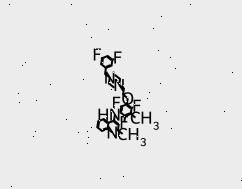 Cc1cc(Nc2c(F)c(C)c(F)c(OCCN3CCN(Cc4cc(F)cc(F)c4)CC3)c2F)c2ccccc2n1